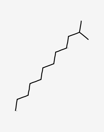 [CH2]CCCCCCC[CH]CC(C)C